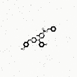 COc1ccc(CN2CCC([C@H](c3cccc(F)c3)N3CCN(C(=O)OCc4ccccc4)CC3C)CC2)cc1